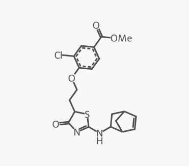 COC(=O)c1ccc(OCCC2SC(NC3CC4C=CC3C4)=NC2=O)c(Cl)c1